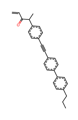 C=CC(=O)C(C)c1ccc(C#Cc2ccc(-c3ccc(CCC)cc3)cc2)cc1